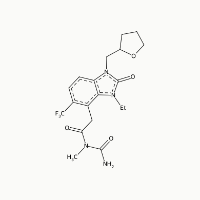 CCn1c(=O)n(CC2CCCO2)c2ccc(C(F)(F)F)c(CC(=O)N(C)C(N)=O)c21